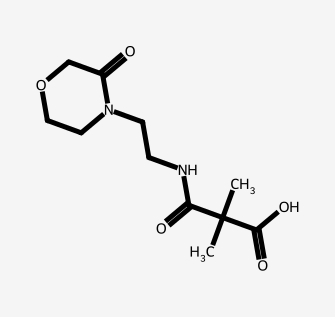 CC(C)(C(=O)O)C(=O)NCCN1CCOCC1=O